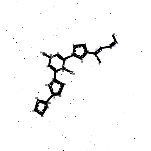 C/C=C\C=C(/C)c1ccc(C2=C[S+]([O-])C=C(c3ccc(-c4cccs4)s3)[S+]2[O-])s1